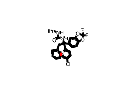 CC(C)NC(=O)NC(Cc1ccccc1)(c1ccc2c(c1)OC(F)(F)O2)c1ccc(Cl)cn1